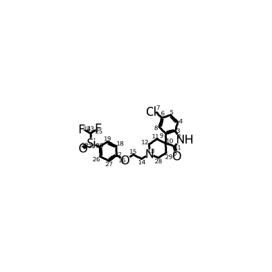 O=C1Nc2ccc(Cl)cc2C12CCN(CCOc1ccc([Si](=O)C(F)F)cc1)CC2